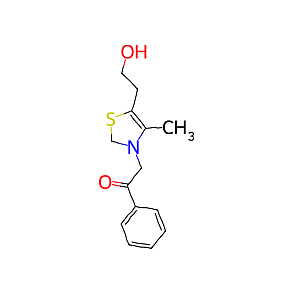 CC1=C(CCO)SCN1CC(=O)c1ccccc1